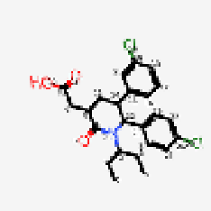 CCC(CC)N1C(=O)C(CC(=O)O)CC(c2cccc(Cl)c2)C1c1ccc(Cl)cc1